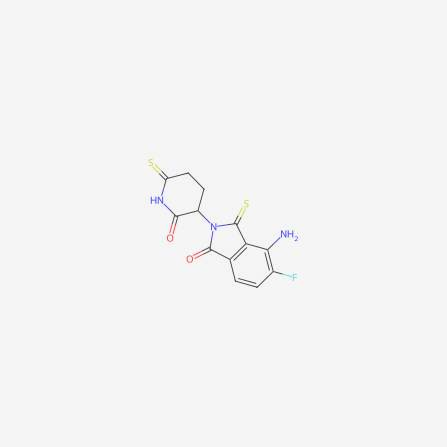 Nc1c(F)ccc2c1C(=S)N(C1CCC(=S)NC1=O)C2=O